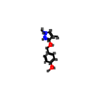 COc1ccc(COc2nn(C)cc2C)cc1